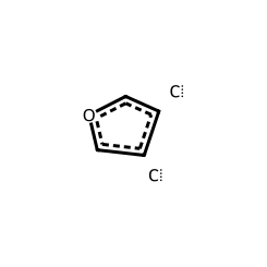 [C].[C].c1ccoc1